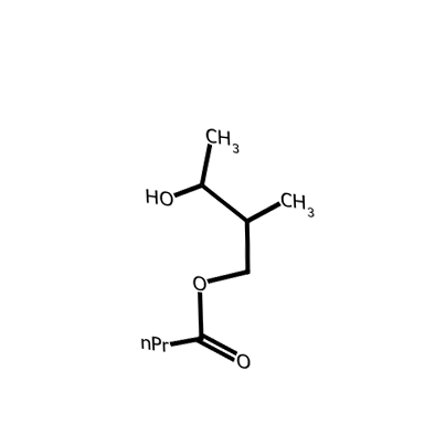 CCCC(=O)OCC(C)C(C)O